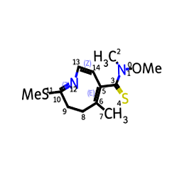 CON(C)C(=S)C1=C(\C)CC/C(SC)=N/C=C\1